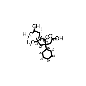 CC(C)COC(=O)C(CC(=O)O)(CC(C)C)C1CCCCC1